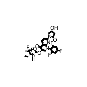 CC[C@@H](NC(=O)Oc1cn(-c2c(F)cc(F)cc2F)c2nc(N3C[C@@H](O)CC3=O)ccc2c1=O)C(F)(F)F